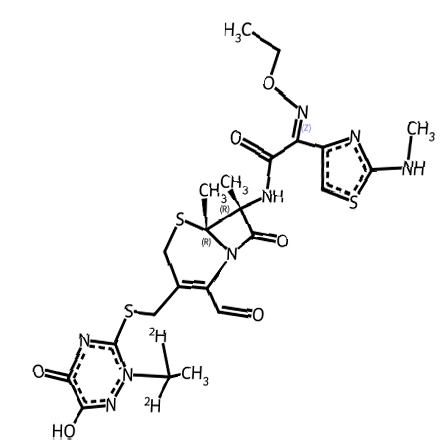 [2H]C([2H])(C)n1nc(O)c(=O)nc1SCC1=C(C=O)N2C(=O)[C@@](C)(NC(=O)/C(=N\OCC)c3csc(NC)n3)[C@@]2(C)SC1